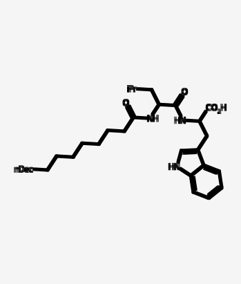 CCCCCCCCCCCCCCCCCC(=O)NC(CC(C)C)C(=O)NC(Cc1c[nH]c2ccccc12)C(=O)O